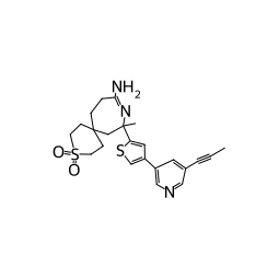 CC#Cc1cncc(-c2csc(C3(C)CC4(CCC(N)=N3)CCS(=O)(=O)CC4)c2)c1